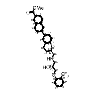 COC(=O)c1ccc2cc(-c3ccc4c(c3)CC[C@H](CNC[C@H](O)COc3ccccc3C(F)(F)F)O4)ccc2c1